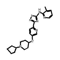 Cc1cccnc1Nc1nc(-c2ccc(OC3CCN(C4CCCC4)CC3)cn2)ns1